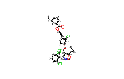 CCc1cccc(C(=O)OC#Cc2ccc(OCc3c(-c4c(Cl)cccc4Cl)noc3C3CC3)cc2Cl)c1